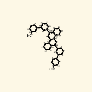 [C-]#[N+]c1ccc(-c2cccc(-c3cc4c5ccccc5c(-c5cccc(-c6cccc(C#N)c6)c5)cc4c4ccccc34)c2)cc1